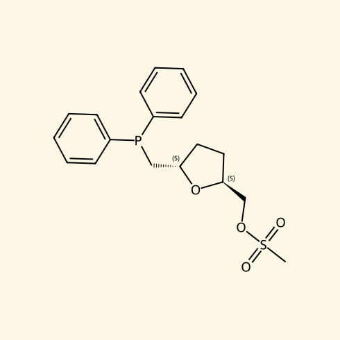 CS(=O)(=O)OC[C@@H]1CC[C@@H](CP(c2ccccc2)c2ccccc2)O1